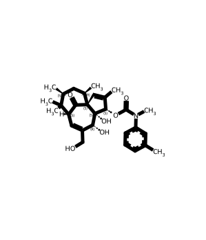 CC1=C[C@]23C(=O)[C@@H](C=C(CO)[C@@H](O)[C@]2(O)[C@H]1OC(=O)N(C)c1cccc(C)c1)C(C)(C)[C@@H](C)C[C@H]3C